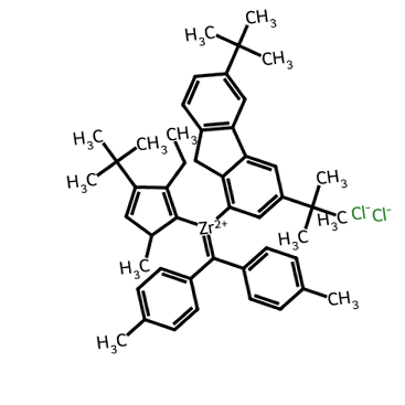 CCC1=[C]([Zr+2](=[C](c2ccc(C)cc2)c2ccc(C)cc2)[c]2cc(C(C)(C)C)cc3c2Cc2ccc(C(C)(C)C)cc2-3)C(C)C=C1C(C)(C)C.[Cl-].[Cl-]